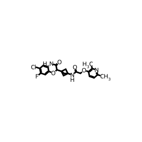 Cc1ccc(OCC(=O)NC23CC(C(Oc4ccc(Cl)c(F)c4)C(N)=O)(C2)C3)c(C)n1